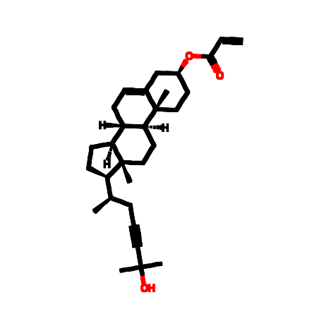 C=CC(=O)O[C@H]1CC[C@@]2(C)C(=CC[C@H]3[C@@H]4CC[C@H]([C@H](C)CC#CC(C)(C)O)[C@@]4(C)CC[C@@H]32)C1